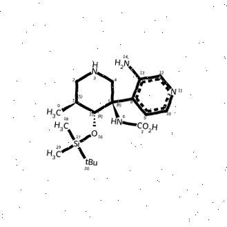 C[C@H]1CNC[C@](NC(=O)O)(c2ccncc2N)[C@@H]1O[Si](C)(C)C(C)(C)C